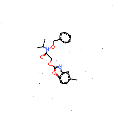 Cc1ccc2oc(OCC(=O)N(OCc3ccccc3)C(C)C)nc2c1